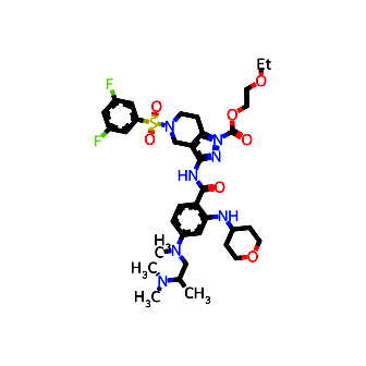 CCOCCOC(=O)n1nc(NC(=O)c2ccc(N(C)CC(C)N(C)C)cc2NC2CCOCC2)c2c1CCN(S(=O)(=O)c1cc(F)cc(F)c1)C2